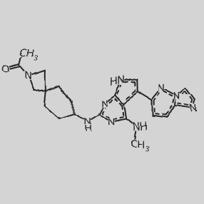 CNc1nc(NC2CCC3(CC2)CN(C(C)=O)C3)nc2[nH]cc(-c3ccc4nccn4n3)c12